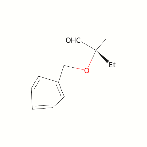 CC[C@](C)(C=O)OCc1ccccc1